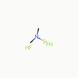 CN(C)[S].F.F